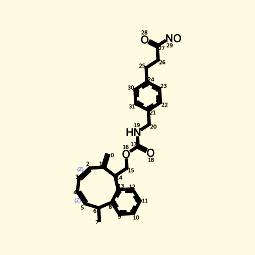 C=C1/C=C\C=C/C(C)c2ccccc2C1COC(=O)NCc1ccc(CCC(=O)N=O)cc1